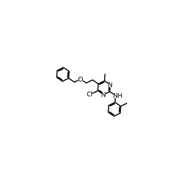 Cc1ccccc1Nc1nc(C)c(CCOCc2ccccc2)c(Cl)n1